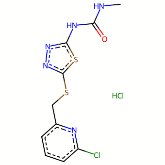 CNC(=O)Nc1nnc(SCc2cccc(Cl)n2)s1.Cl